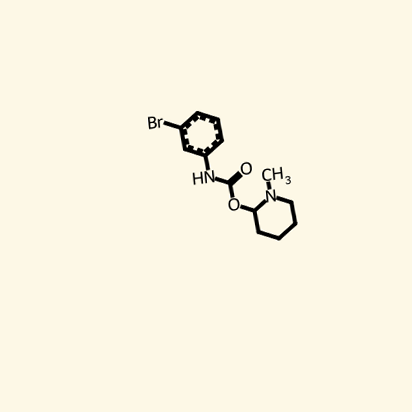 CN1CCCCC1OC(=O)Nc1cccc(Br)c1